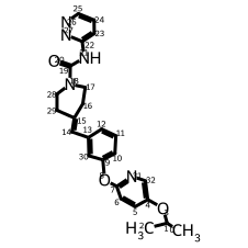 CC(C)Oc1ccc(Oc2cccc(C=C3CCN(C(=O)Nc4cccnn4)CC3)c2)nc1